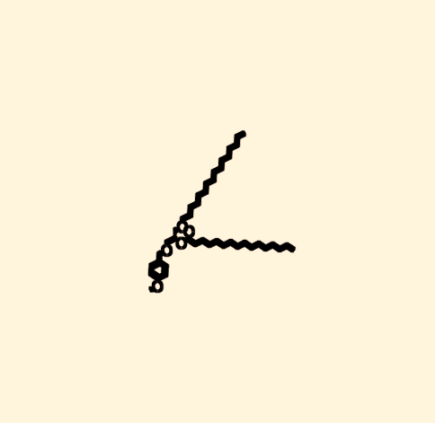 CCCCCCCCCCCCCCCCOC[C@H](COCc1ccc(OC)cc1)OC(=O)CCCCCCCCCCCCCCC